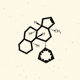 C[C@@]12C=CC[C@H]1[C@@H]1CCC3CCCC[C@@H]3[C@H]1[C@@H](c1ccccc1)C2